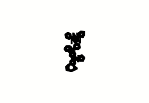 c1ccc(-c2nc(-c3ccccc3)nc(-c3cccc(-n4c5ccccc5c5cc6c7cc8c(cc7n(-c7ccccc7)c6cc54)C4CC4CC4CCC8C4)c3)n2)cc1